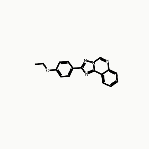 CCOc1ccc(-c2nc3c4ccccc4ncn3n2)cc1